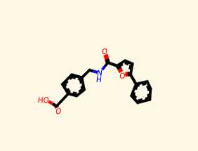 O=C(O)c1ccc(CNC(=O)c2ccc(-c3ccccc3)o2)cc1